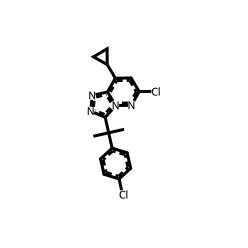 CC(C)(c1ccc(Cl)cc1)c1nnc2c(C3CC3)cc(Cl)nn12